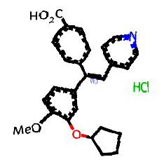 COc1ccc(/C(=C/c2ccncc2)c2ccc(C(=O)O)cc2)cc1OC1CCCC1.Cl